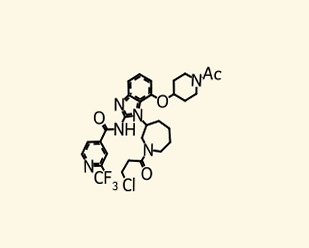 CC(=O)N1CCC(Oc2cccc3nc(NC(=O)c4ccnc(C(F)(F)F)c4)n(C4CCCCN(C(=O)CCCl)C4)c23)CC1